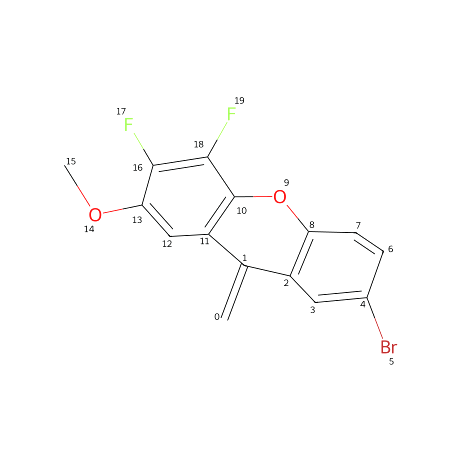 C=C1c2cc(Br)ccc2Oc2c1cc(OC)c(F)c2F